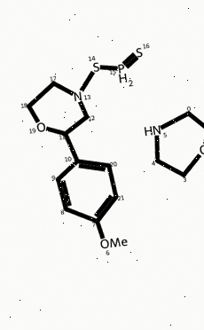 C1COCCN1.COc1ccc(C2CN(S[PH2]=S)CCO2)cc1